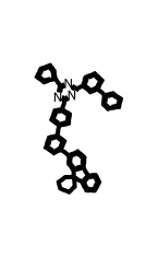 c1ccc(-c2cccc(-c3nc(-c4ccccc4)nc(-c4ccc(-c5cccc(-c6ccc7c(c6)C6(CCCCC6)c6ccccc6-7)c5)cc4)n3)c2)cc1